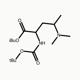 CC(C)COC(=O)C(CC(C)N(C)C)NC(=O)OC(C)(C)C